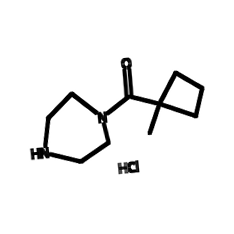 CC1(C(=O)N2CCNCC2)CCC1.Cl